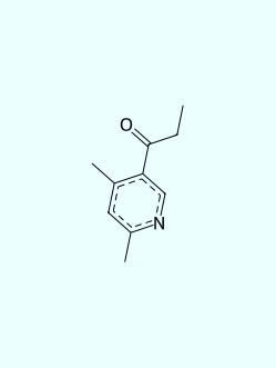 CCC(=O)c1cnc(C)cc1C